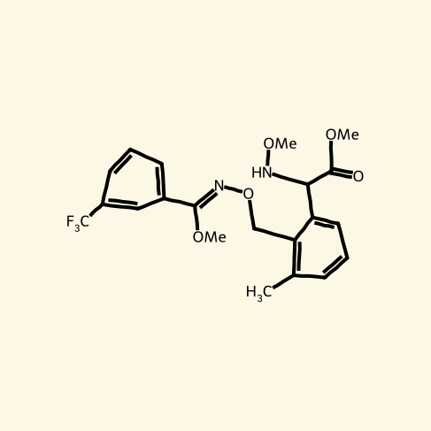 CONC(C(=O)OC)c1cccc(C)c1CO/N=C(\OC)c1cccc(C(F)(F)F)c1